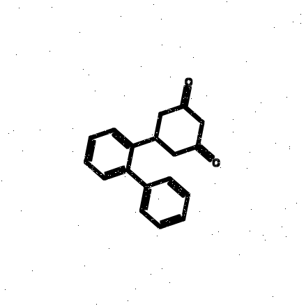 O=C1CC(=O)CC(c2ccccc2-c2ccccc2)C1